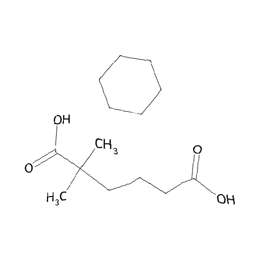 C1CCCCC1.CC(C)(CCCC(=O)O)C(=O)O